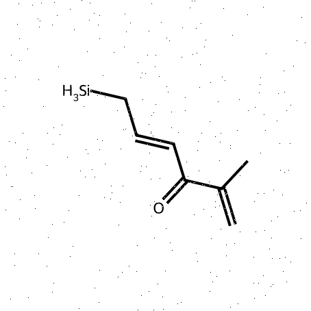 C=C(C)C(=O)C=CC[SiH3]